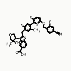 Cc1cc(Cc2nc3ccc(C(=O)O)cc3n2[C@@H]2COCC2(C)C)c(F)cc1-c1nc(OCc2ccc(C#N)cc2F)ccc1F